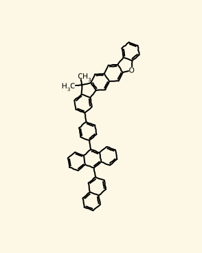 CC1(C)c2ccc(-c3ccc(-c4c5ccccc5c(-c5ccc6ccccc6c5)c5ccccc45)cc3)cc2-c2cc3cc4oc5ccccc5c4cc3cc21